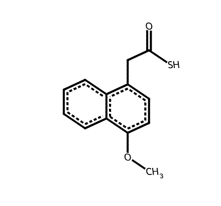 COc1ccc(CC(=O)S)c2ccccc12